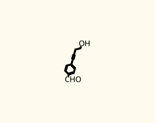 O=Cc1ccc(C#CCCO)cc1